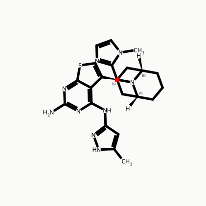 Cc1cc(Nc2nc(N)nc3scc([C@@H]4C[C@H]5CCC[C@@H](C4)N5Cc4nccn4C)c23)n[nH]1